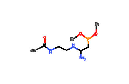 CCOP(CC(N)NCCNC(=O)C(C)(C)C)OCC